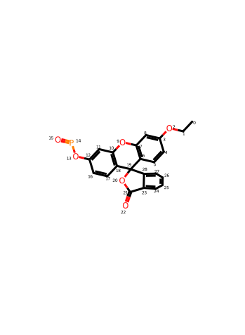 CCOc1ccc2c(c1)Oc1cc(OP=O)ccc1C21OC(=O)c2ccccc21